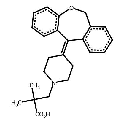 CC(C)(CN1CCC(=C2c3ccccc3COc3ccccc32)CC1)C(=O)O